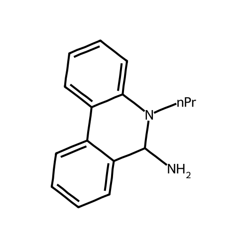 CCCN1c2ccccc2-c2ccccc2C1N